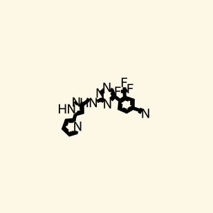 N#Cc1ccc(-c2cnnc(NCc3cc(-c4ccccn4)[nH]n3)n2)c(C(F)(F)F)c1